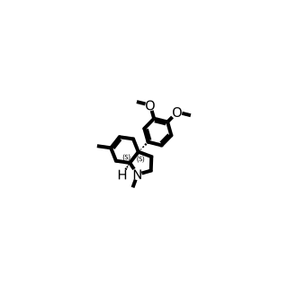 COc1ccc([C@@]23CC=C(C)C[C@@H]2N(C)CC3)cc1OC